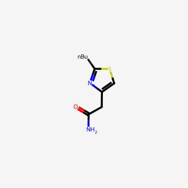 CCCCc1nc(CC(N)=O)cs1